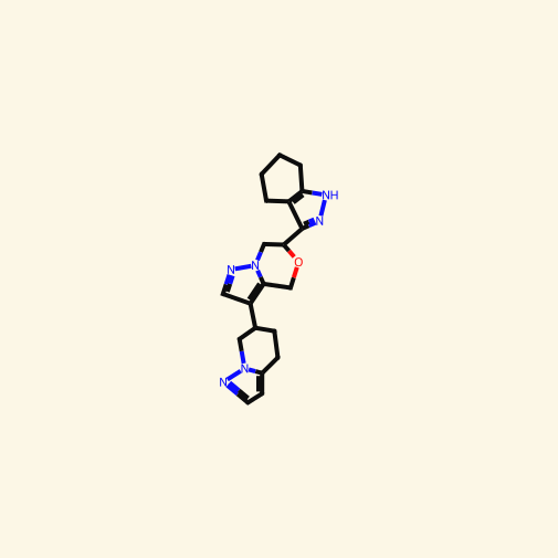 c1cc2n(n1)CC(c1cnn3c1COC(c1n[nH]c4c1CCCC4)C3)CC2